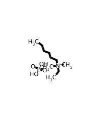 CCCCCC[N+](C)(C)CC.O=P([O-])(O)O